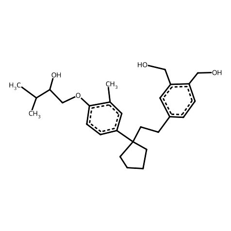 Cc1cc(C2(CCc3ccc(CO)c(CO)c3)CCCC2)ccc1OCC(O)C(C)C